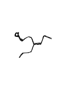 CC/C=C(/CCC)CCCl